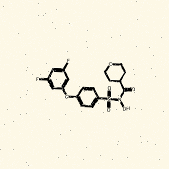 O=C(C1CCOCC1)N(O)S(=O)(=O)c1ccc(Oc2cc(F)cc(F)c2)cc1